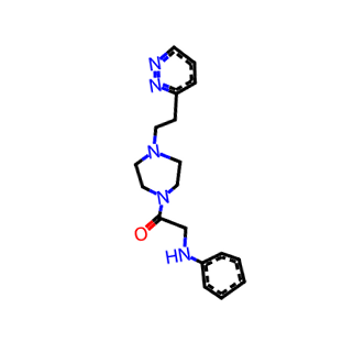 O=C(CNc1ccccc1)N1CCN(CCc2cccnn2)CC1